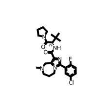 CN1CCCn2c(-c3cc(Cl)ccc3F)nc(C(=O)N[C@H](C(=O)N3CCCC3)C(C)(C)C)c2C1